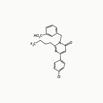 O=C(O)c1cccc(Cn2c(CCCC(F)(F)F)nc(-c3ccc(Cl)cc3)cc2=O)c1